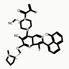 C=C(F)C(=O)N1CCN(C2=C(C#N)C(OC[C@@H]3CCCN3C)=NC3C(F)=C(c4cccc5cccc(Cl)c45)N=CC23)C[C@@H]1CC#N